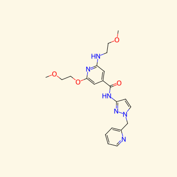 COCCNc1cc(C(=O)Nc2ccn(Cc3ccccn3)n2)cc(OCCOC)n1